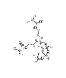 C=C(C)C(=O)OCCC[Si](C)(CCCOC(=O)C(=C)C)O[Si](C)(C)O[Si](C)(C)O[Si](C)(C)C